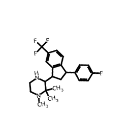 CN1CCNC(C2CC(c3ccc(F)cc3)c3ccc(C(F)(F)F)cc32)C1(C)C